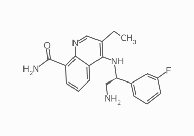 CCc1cnc2c(C(N)=O)cccc2c1N[C@H](CN)c1cccc(F)c1